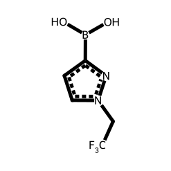 OB(O)c1ccn(CC(F)(F)F)n1